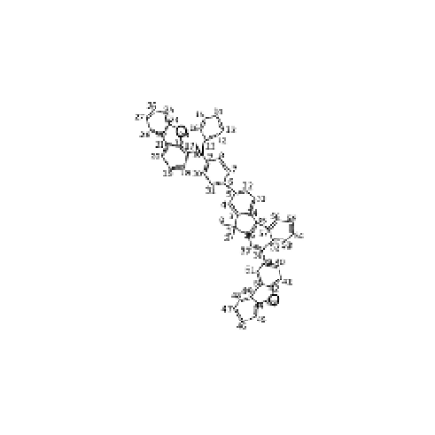 CC1(C)c2cc(-c3ccc(N(c4ccccc4)c4cccc5c4oc4ccccc45)cc3)ccc2-c2c1cc(-c1ccc3oc4ccccc4c3c1)c1ccccc21